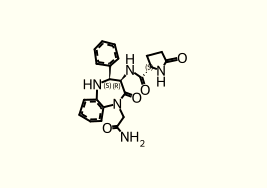 NC(=O)CN1C(=O)[C@H](NC(=O)[C@@H]2CCC(=O)N2)[C@H](c2ccccc2)Nc2ccccc21